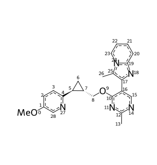 COc1ccc([C@H]2C[C@@H]2COc2nc(C)ncc2-c2nc3ccccn3c2C)nc1